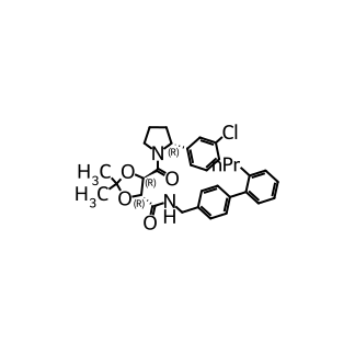 CCCc1ccccc1-c1ccc(CNC(=O)[C@@H]2OC(C)(C)O[C@H]2C(=O)N2CCC[C@@H]2c2cccc(Cl)c2)cc1